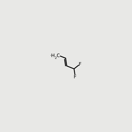 [CH2]/C=C/C(F)F